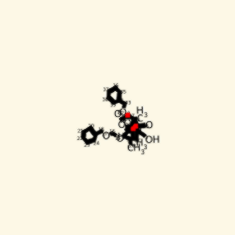 CC1=C(O)C(=O)C2C3(C)CC(=O)OC4(C(OCOCc5ccccc5)C(C)CCC34OCOCc3ccccc3)C12O